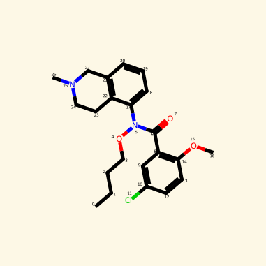 CCCCON(C(=O)c1cc(Cl)ccc1OC)c1cccc2c1CCN(C)C2